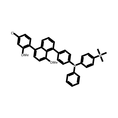 COc1cc(Cl)ccc1-c1ccc(OC)c2c(-c3ccc(N(c4ccccc4)c4ccc([Si](C)(C)C)cc4)cc3)cccc12